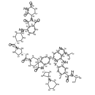 Cc1cc(F)c(Nc2nc(-c3ccc4c(c3)N([C@H]3C[C@@H](N5CCCCC5)C3)C(=O)C43CCN(C(=O)C[C@@H]4CCN(C(=O)[C@H]5CC[C@H](Nc6cccc7c6C(=O)N(C6CCC(=O)NC6=O)C7=O)CC5)C4)CC3)cc3ncn(C(C)C)c23)cc1C(=O)NC(C)C